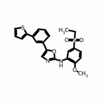 CCS(=O)(=O)c1ccc(OC)c(Nc2ncc(-c3cccc(-c4cccs4)c3)o2)c1